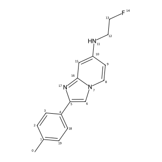 Cc1ccc(-c2cn3ccc(NCCF)cc3n2)cc1